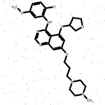 COc1ccc(Cl)c(Nc2ncnc3cc(OCCCN4CCN(C)CC4)cc(OC4CCOC4)c23)c1